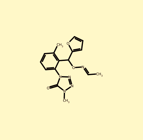 CC=NOC(c1ccco1)c1c(C)cccc1-n1nnn(C)c1=O